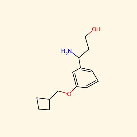 NC(CCO)c1cccc(OCC2CCC2)c1